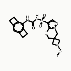 O=C(Nc1c2c(cc3c1CC3)CC2)NS(=O)(=O)c1cnn2c1OCC1(CN(SI)C1)C2